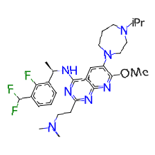 COc1nc2nc(CCN(C)C)nc(N[C@H](C)c3cccc(C(F)F)c3F)c2cc1N1CCCN(C(C)C)CC1